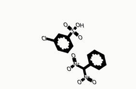 O=S(=O)(O)c1cccc(Cl)c1.O=[N+]([O-])C(c1ccccc1)[N+](=O)[O-]